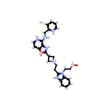 COCCn1c(CCN2CC(c3nc4c(NCc5ncccc5F)nccc4o3)C2)nc2ccccc21